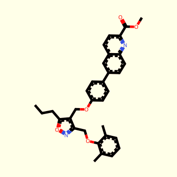 CCCc1onc(COc2c(C)cccc2C)c1COc1ccc(-c2ccc3nc(C(=O)OC)ccc3c2)cc1